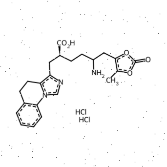 Cc1oc(=O)oc1CC(N)CC[C@@H](Cc1ncn2c1CCc1ccccc1-2)C(=O)O.Cl.Cl